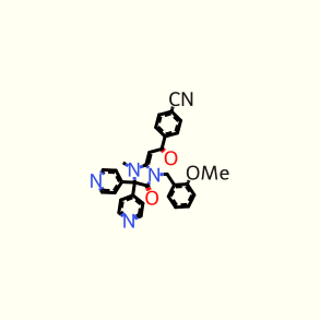 COc1ccccc1CN1C(=O)C(c2ccncc2)(c2ccncc2)N(C)C1=CC(=O)c1ccc(C#N)cc1